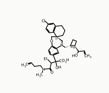 C=CCCN(C)C(=O)C(CC)C(O)(C(=O)O)c1ccc2c(c1)N(C[C@@H]1CC[C@H]1C(O)C=C)C[C@@]1(CCCc3cc(Cl)ccc31)CO2